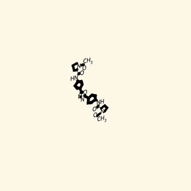 CC(=O)N1CCC[C@H]1C(=O)Nc1ccc(-c2nnc(-c3ccc(NC(=O)[C@@H]4CCCN4C(C)=O)cc3)o2)cc1